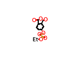 CCOS(=O)(=O)Oc1ccc2c(c1)C(=O)OC2=O